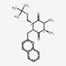 C[C@H]1C(=O)N(Cc2ccc3ccccc3n2)[C@@H](COC(C)(C)C)C(=O)N1C